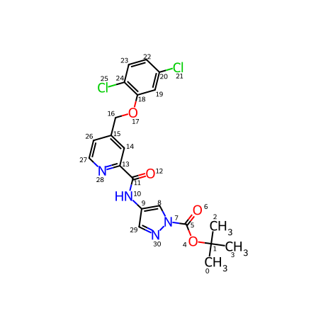 CC(C)(C)OC(=O)n1cc(NC(=O)c2cc(COc3cc(Cl)ccc3Cl)ccn2)cn1